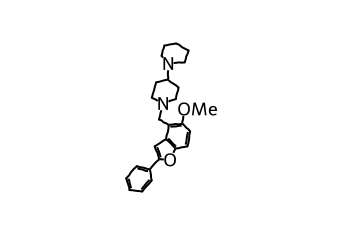 COc1ccc2oc(-c3ccccc3)cc2c1CN1CCC(N2CCCCC2)CC1